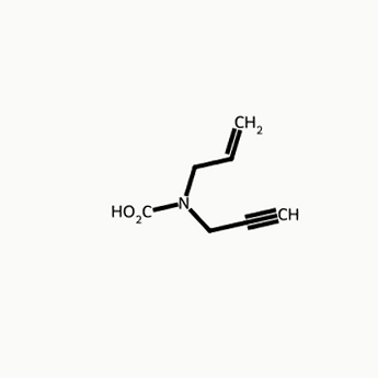 C#CCN(CC=C)C(=O)O